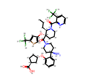 CCC[C@H]1N(C(=O)c2ncccc2C(F)(F)F)CCC[C@@]1(Oc1csc(C(F)(F)F)c1)C(=O)N1CCC(N)(c2ccccc2O[C@H]2CC[C@H](C(=O)O)C2)CC1